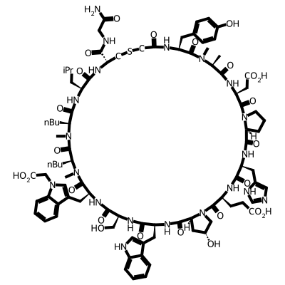 CCCC[C@H]1C(=O)N(C)[C@@H](CCCC)C(=O)N[C@@H](CC(C)C)C(=O)N[C@H](C(=O)NCC(N)=O)CSCC(=O)N[C@@H](Cc2ccc(O)cc2)C(=O)N(C)[C@@H](C)C(=O)N[C@@H](CC(=O)O)C(=O)N2CCC[C@H]2C(=O)N[C@@H](Cc2cnc[nH]2)C(=O)N[C@@H](CCC(=O)O)C(=O)N2C[C@H](O)C[C@H]2C(=O)N[C@@H](Cc2c[nH]c3ccccc23)C(=O)N[C@@H](CO)C(=O)N[C@@H](Cc2cn(CC(=O)O)c3ccccc23)C(=O)N1C